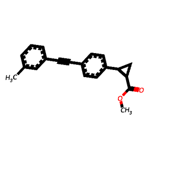 COC(=O)C1CC1c1ccc(C#Cc2cccc(C)c2)cc1